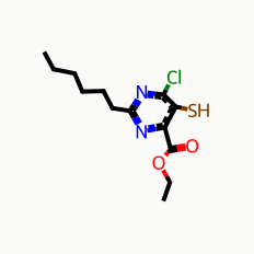 CCCCCCc1nc(Cl)c(S)c(C(=O)OCC)n1